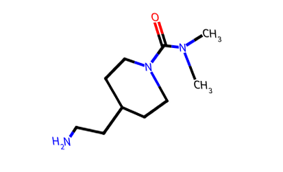 CN(C)C(=O)N1CCC(CCN)CC1